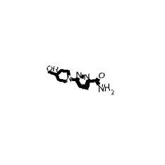 NC(=O)c1ccc(N2CCC(CO)CC2)nn1